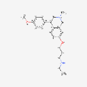 CCNCCCOc1ccc2c(c1)CN(C)CC2c1ccc(OC)cc1